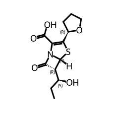 CC[C@H](O)[C@@H]1C(=O)N2C(C(=O)O)=C([C@H]3CCCO3)S[C@H]12